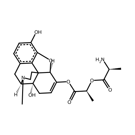 C[C@H](N)C(=O)O[C@@H](C)C(=O)OC1=CC[C@@]2(O)[C@H]3Cc4ccc(O)c5c4C2(CCN3C)[C@H]1O5